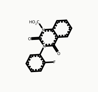 O=C(O)n1c(=O)n(-c2ccccc2F)c(=O)c2ccccc21